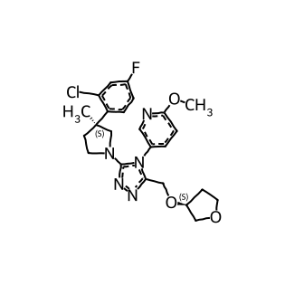 COc1ccc(-n2c(CO[C@H]3CCOC3)nnc2N2CC[C@@](C)(c3ccc(F)cc3Cl)C2)cn1